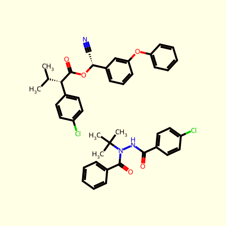 CC(C)(C)N(NC(=O)c1ccc(Cl)cc1)C(=O)c1ccccc1.CC(C)[C@H](C(=O)O[C@H](C#N)c1cccc(Oc2ccccc2)c1)c1ccc(Cl)cc1